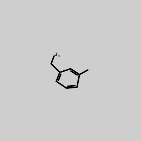 [CH2]c1cccc(CC(F)(F)F)c1